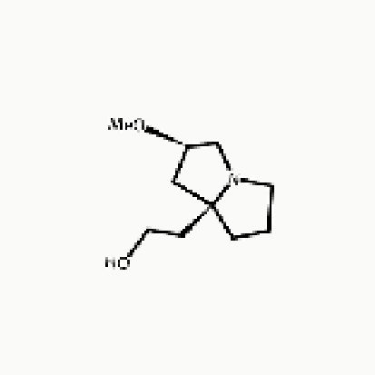 CO[C@H]1CN2CCC[C@]2(CCO)C1